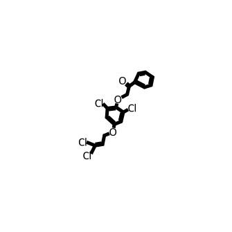 O=C(COc1c(Cl)cc(OCC=C(Cl)Cl)cc1Cl)c1ccccc1